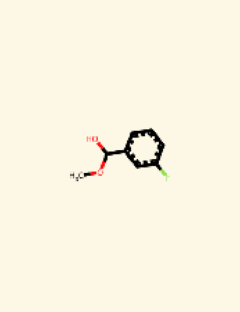 COC(O)c1cccc(F)c1